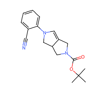 CC(C)(C)OC(=O)N1CC2=CN(c3ccccc3C#N)CC2C1